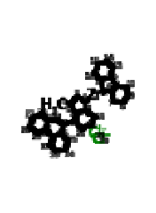 CC1=C[CH]([Zr+2][CH]2c3ccccc3-c3ccccc32)c2cccc(-c3cc4ccccc4c4ccccc34)c21.[Cl-].[Cl-]